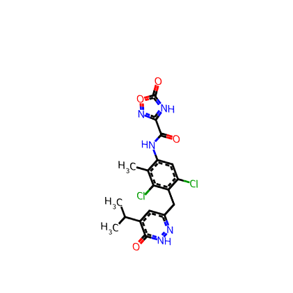 Cc1c(NC(=O)c2noc(=O)[nH]2)cc(Cl)c(Cc2cc(C(C)C)c(=O)[nH]n2)c1Cl